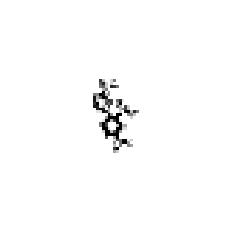 O=[N+]([O-])c1ccc(-n2nnc([N+](=O)[O-])n2)c([N+](=O)[O-])c1